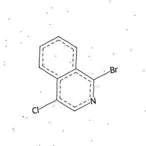 Clc1cnc(Br)c2ccccc12